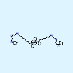 CC/C=C\C/C=C\C/C=C\CCCCCCCC(=O)OOC(=O)C(=O)CCCCCC/C=C\C/C=C\C/C=C\CC